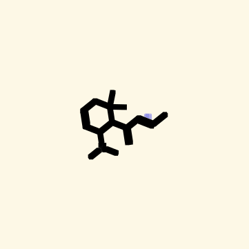 C=C(/C=C/C)C1C(N(C)C)C=CCC1(C)C